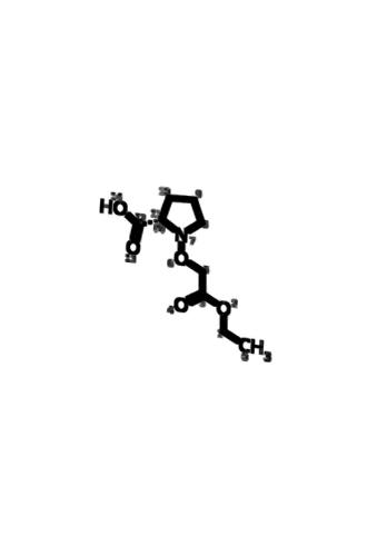 CCOC(=O)CON1CCC[C@H]1C(=O)O